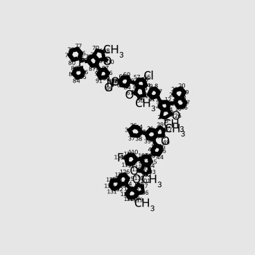 CC1Cc2cc(-c3ccccc3)cc(-c3cccc4ccccc34)c2C1=O.CC1Cc2cc(-c3ccccc3)cc(-c3ccccc3)c2C1=O.CC1Cc2cc(Cl)cc(-c3ccccc3)c2C1=O.CC1Cc2cc(P(c3ccccc3)c3ccccc3)cc(-c3ccc([N+](=O)[O-])cc3)c2C1=O.CC1Cc2cccc(-c3ccc(F)cc3)c2C1=O.Cc1ccc(-c2cccc3ccccc23)c2c1CCC2=O